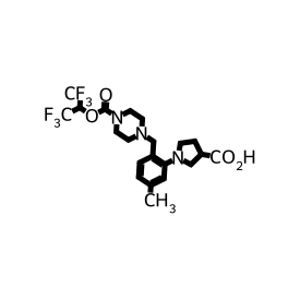 Cc1ccc(CN2CCN(C(=O)OC(C(F)(F)F)C(F)(F)F)CC2)c(N2CCC(C(=O)O)C2)c1